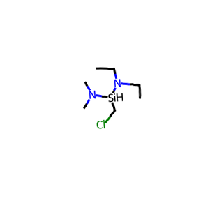 CCN(CC)[SiH](CCl)N(C)C